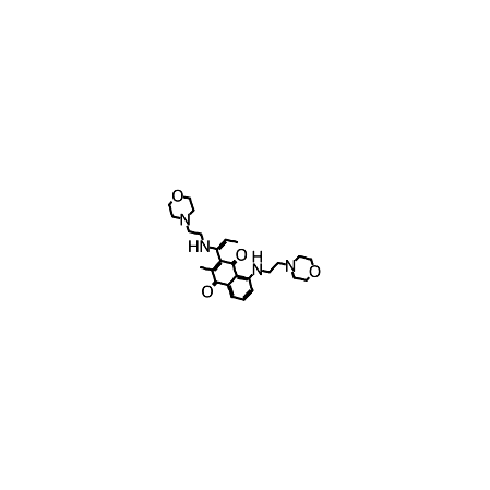 C/C=C(/NCCN1CCOCC1)C1=C(C)C(=O)c2cccc(NCCN3CCOCC3)c2C1=O